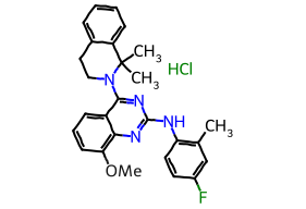 COc1cccc2c(N3CCc4ccccc4C3(C)C)nc(Nc3ccc(F)cc3C)nc12.Cl